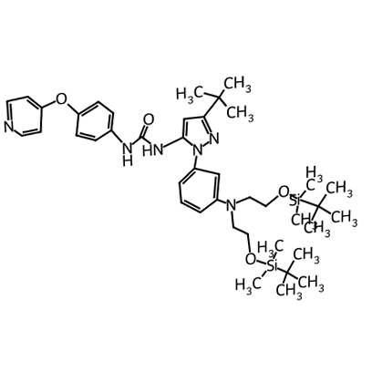 CC(C)(C)c1cc(NC(=O)Nc2ccc(Oc3ccncc3)cc2)n(-c2cccc(N(CCO[Si](C)(C)C(C)(C)C)CCO[Si](C)(C)C(C)(C)C)c2)n1